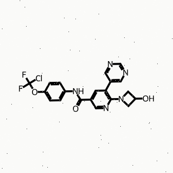 O=C(Nc1ccc(OC(F)(F)Cl)cc1)c1cnc(N2CC(O)C2)c(-c2cncnc2)c1